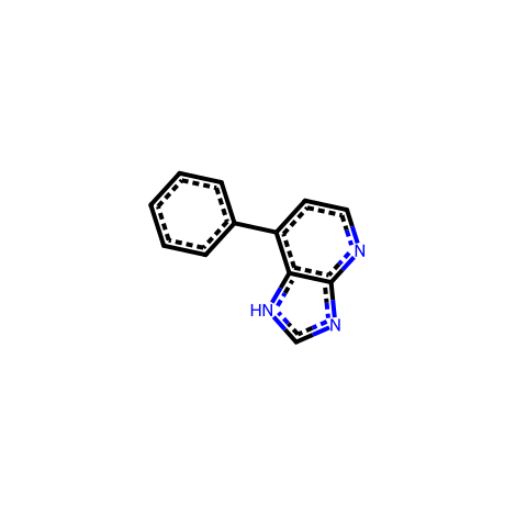 c1ccc(-c2ccnc3nc[nH]c23)cc1